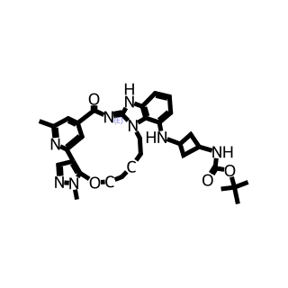 Cc1cc2cc(n1)-c1cnn(C)c1OCCCCCN1/C(=N/C2=O)Nc2cccc(NC3CC(NC(=O)OC(C)(C)C)C3)c21